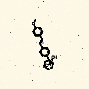 COc1ccc(/C=C/c2ccc(C3(O)CN4CCC3CC4)cc2)cc1